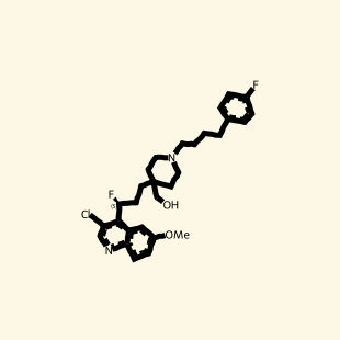 COc1ccc2ncc(Cl)c([C@@H](F)CCC3(CO)CCN(CCCCc4ccc(F)cc4)CC3)c2c1